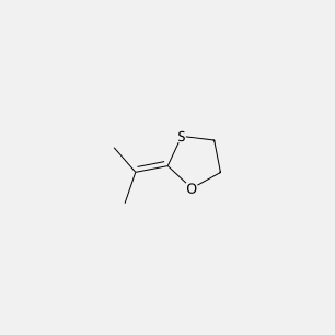 CC(C)=C1OCCS1